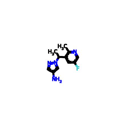 Cc1ncc(F)cc1C(C)n1cc(N)cn1